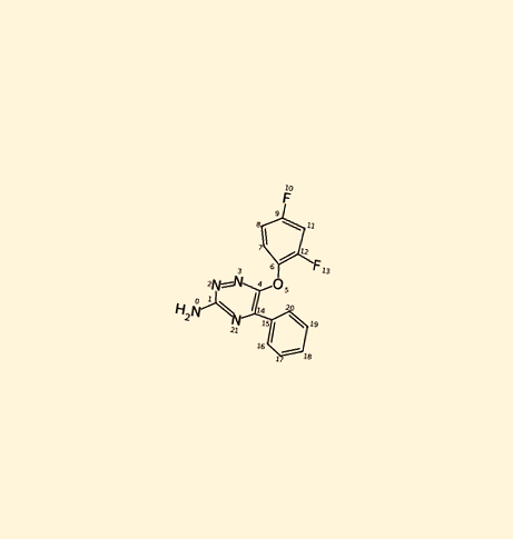 Nc1nnc(Oc2ccc(F)cc2F)c(-c2ccccc2)n1